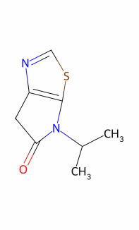 CC(C)N1C(=O)Cc2ncsc21